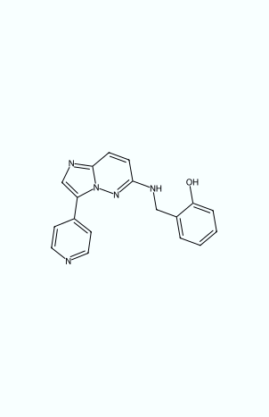 Oc1ccccc1CNc1ccc2ncc(-c3ccncc3)n2n1